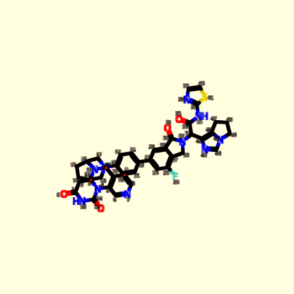 O=C1CCN(c2cnccc2CN2C3CCC2CN(c2ccc(-c4cc(F)c5c(c4)C(=O)N(C(C(=O)Nc4nccs4)c4ncn6c4CCC6)C5)cc2)C3)C(=O)N1